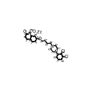 CCOC(=O)n1c(=O)ccc2ccc(OCCCCN3CCN(c4cccc(Cl)c4Cl)CC3)cc21